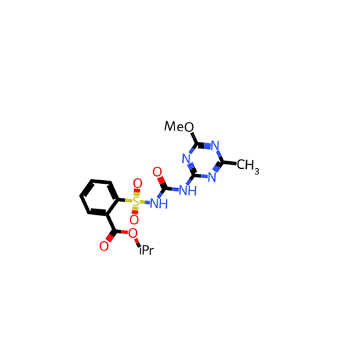 COc1nc(C)nc(NC(=O)NS(=O)(=O)c2ccccc2C(=O)OC(C)C)n1